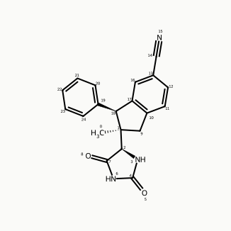 C[C@@]1([C@H]2NC(=O)NC2=O)Cc2ccc(C#N)cc2[C@@H]1c1ccccc1